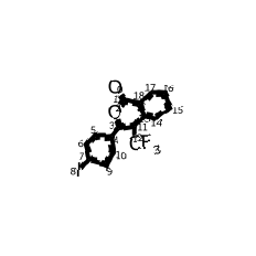 O=c1oc(-c2ccc(I)cc2)c(C(F)(F)F)c2ccccc12